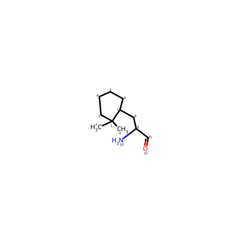 CC1(C)CCCCC1CC(N)C=O